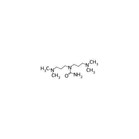 CN(C)CCCN(CCCN(C)C)C(N)=O